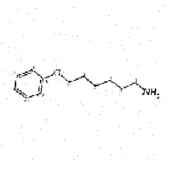 NCCCCCCOc1ccccc1